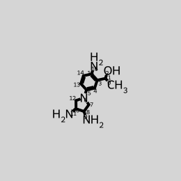 CC(O)c1cc(N2CC(N)C(N)C2)ccc1N